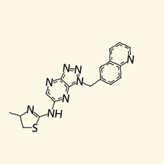 CC1CSC(Nc2cnc3nnn(Cc4ccc5ncccc5c4)c3n2)=N1